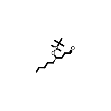 CCCCC[C@H](CCC=O)O[Si](C)(C)C(C)(C)C